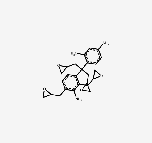 Cc1cc(N)ccc1C(CC1CO1)(CC1CO1)c1ccc(CC2CO2)c(N)c1CC1CO1